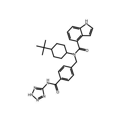 CC(C)(C)C1CCC(N(Cc2ccc(C(=O)Nc3nn[nH]n3)cc2)C(=O)c2cccc3[nH]ccc23)CC1